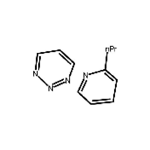 CCCc1ccccn1.c1cnnnc1